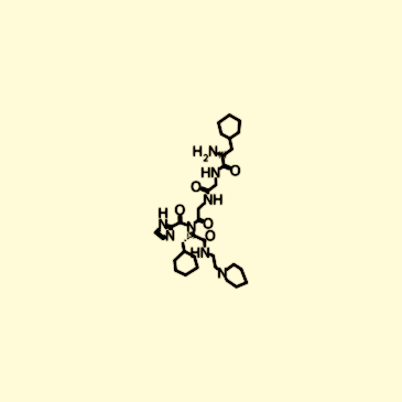 N[C@@H](CC1CCCCC1)C(=O)NCC(=O)NCC(=O)N(C(=O)c1ncc[nH]1)[C@@H](CC1CCCCC1)C(=O)NCCN1CCCCC1